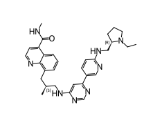 CCN1CCC[C@@H]1CNc1ccc(-c2cc(NC[C@@H](C)Cc3cccc4c(C(=O)NC)ccnc34)ncn2)cn1